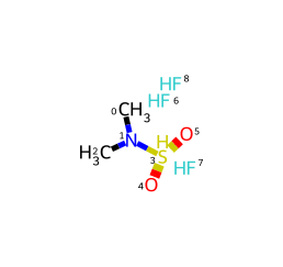 CN(C)[SH](=O)=O.F.F.F